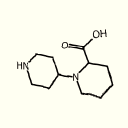 O=C(O)C1CCCCN1C1CCNCC1